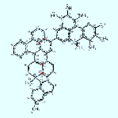 C=Cc1c(-c2c(N)c(O)c(O)c3cc(-c4ccc(N(C5=CCC(C)(c6cccc7cc(C)ccc67)C=C5)c5ccccc5-c5ccccc5)c(-c5ccccc5)c4)cc(O)c23)cc(O)c(C)c1C